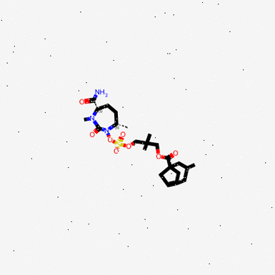 CC1CC2=CCC(C(=O)OCC(C)(C)COS(=O)(=O)ON3C(=O)N(C)[C@H](C(N)=O)CC[C@@H]3C)(C2)C1